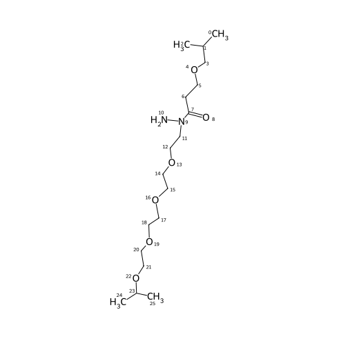 CC(C)COCCC(=O)N(N)CCOCCOCCOCCOC(C)C